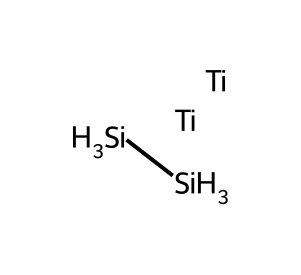 [SiH3][SiH3].[Ti].[Ti]